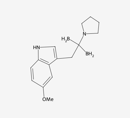 BC(B)(Cc1c[nH]c2ccc(OC)cc12)N1CCCC1